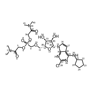 CN(C)C(=O)COP(=O)(COC[C@H]1O[C@@H](n2ccc3c(NC4CCCC4)nc(Cl)nc32)[C@H](O)[C@@H]1O)OCC(=O)N(C)C